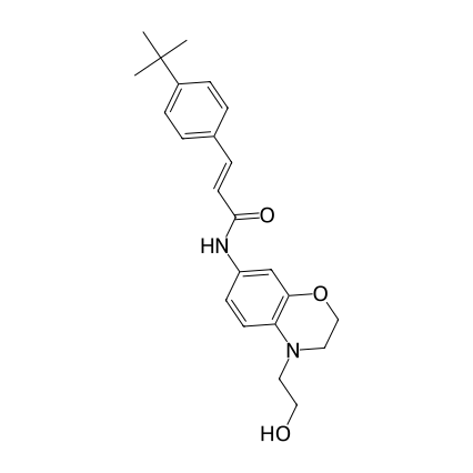 CC(C)(C)c1ccc(/C=C/C(=O)Nc2ccc3c(c2)OCCN3CCO)cc1